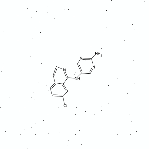 Nc1ncc(Nc2nccc3ccc(Cl)cc23)cn1